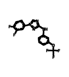 Fc1ccc(-n2cnc(Nc3cccc(OC(F)(F)F)c3)n2)cc1F